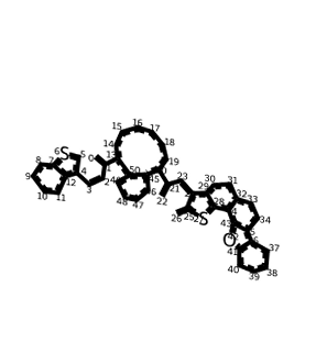 C=C(/C=C\c1csc2ccccc12)c1ccccccc(C(=C)/C=c2\c(=C)sc3c2ccc2ccc4c5ccccc5oc4c23)c2ccccc12